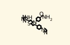 NC(=O)c1ccc(-n2c(-c3ccc(-n4ccnc4)cc3)cc3sc(-c4nnn[nH]4)cc32)cc1